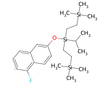 CC(C)[Si](CC[Si](C)(C)C)(CC[Si](C)(C)C)Oc1ccc2c(F)[c]ccc2c1